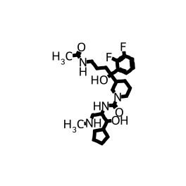 CNCC(NC(=O)N1CCCC(C(O)(CCCNC(C)=O)c2cccc(F)c2F)C1)C(O)C1CCCC1